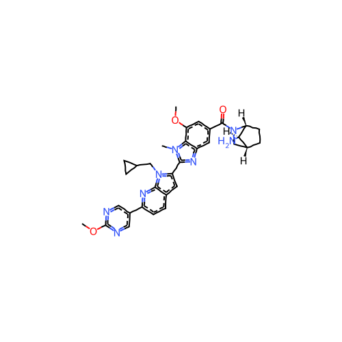 COc1ncc(-c2ccc3cc(-c4nc5cc(C(=O)N6C[C@H]7CC[C@@H]6[C@@H]7N)cc(OC)c5n4C)n(CC4CC4)c3n2)cn1